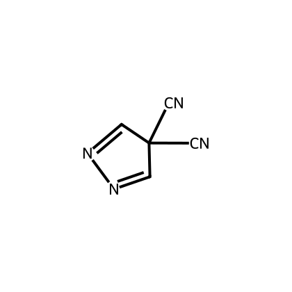 N#CC1(C#N)C=NN=C1